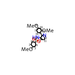 COc1ccc(S(=O)(=O)Nc2cccnc2-c2ccc(OC)cc2OC)cc1